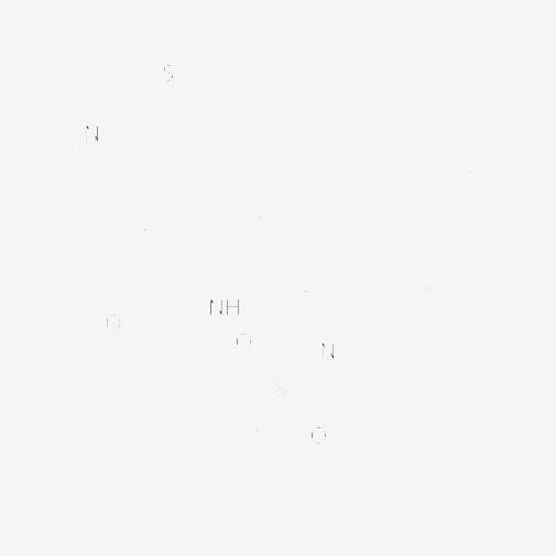 Cc1nc2cc(NC(=O)c3ccccc3S(=O)(=O)N(C)Cc3ccccc3)ccc2s1